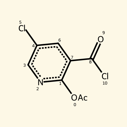 CC(=O)Oc1ncc(Cl)cc1C(=O)Cl